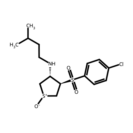 CC(C)CCN[C@H]1C[S+]([O-])C[C@@H]1S(=O)(=O)c1ccc(Cl)cc1